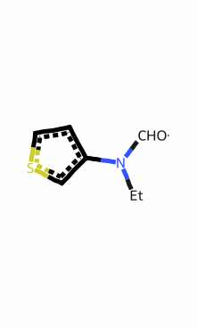 CCN([C]=O)c1ccsc1